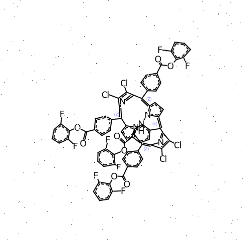 O=C(Oc1c(F)cccc1F)c1ccc(/C2=C3N=C(C(Cl)=C/3Cl)/C(c3ccc(C(=O)Oc4c(F)cccc4F)cc3)=c3/cc/c4n3Nn3c2ccc3/C(c2ccc(C(=O)Oc3c(F)cccc3F)cc2)=C2N=C(C(Cl)=C\2Cl)/C=4c2ccc(C(=O)Oc3c(F)cccc3F)cc2)cc1